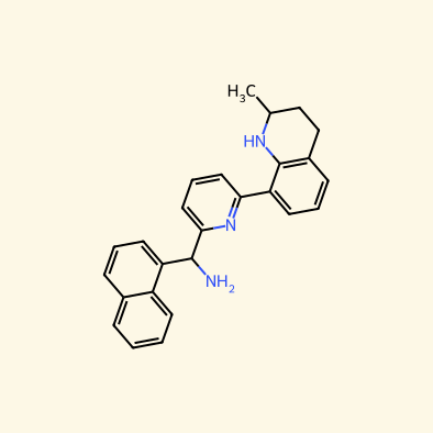 CC1CCc2cccc(-c3cccc(C(N)c4cccc5ccccc45)n3)c2N1